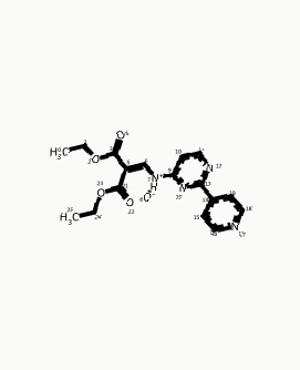 CCOC(=O)C(=C[NH+]([O-])c1ccnc(-c2ccncc2)n1)C(=O)OCC